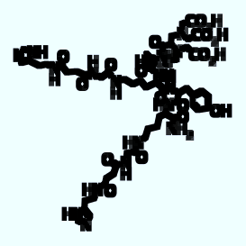 CC(NC(=O)C(CN(CC(=O)O)CC(=O)O)N(CC(=O)O)CC(=O)O)C(=O)NC(CCCCNC(=O)CNC(=O)CCC(=O)NCCc1cnc[nH]1)C(=O)NC(Cc1ccc(O)cc1)C(=O)NC(CCCCNC(=O)CNC(=O)CCC(=O)NCCc1cnc[nH]1)C(N)=O